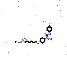 CCCCCN(C)CCCCCCO[C@H]1CC[C@H](N(C)C(=O)Nc2ccc(C(C)=O)cc2)CC1